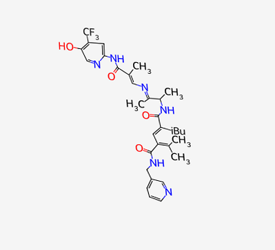 CCC(C)/C(=C\C(C(=O)NCc1cccnc1)=C(C)C)C(=O)NC(C)/C(C)=N/C=C(\C)C(=O)Nc1cc(C(F)(F)F)c(O)cn1